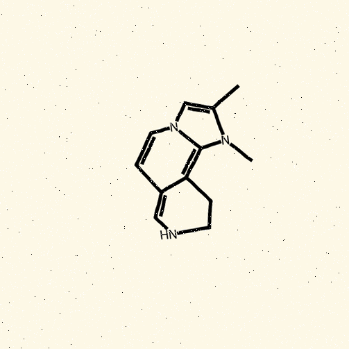 CC1=CN2C=CC3=CNCCC3=C2N1C